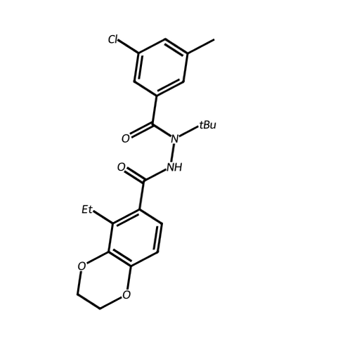 CCc1c(C(=O)NN(C(=O)c2cc(C)cc(Cl)c2)C(C)(C)C)ccc2c1OCCO2